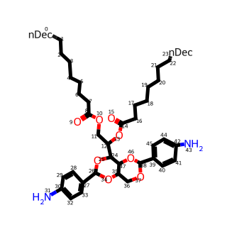 CCCCCCCCCCCCCCCCCC(=O)OCC(OC(=O)CCCCCCCCCCCCCCCCC)C1OC(c2ccc(N)cc2)OC2COC(c3ccc(N)cc3)OC21